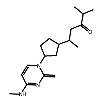 C=C1N=C(NC)C=CN1C1CCC(C(C)CC(=O)C(C)C)C1